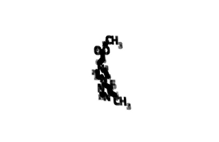 CCOC(=O)CCN1CCN(c2ncnc(CC)c2F)CC1